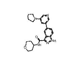 O=C(NC1CCOCC1)c1n[nH]c2ccc(-c3cncc(N4CCCC4)c3)cc12